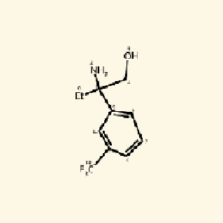 CCC(N)(CO)c1cccc(C(F)(F)F)c1